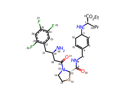 CCOC(=O)[C@H](NC1C=CC(CNC(=O)[C@@H]2SCCN2C(=O)C[C@H](N)Cc2cc(F)c(F)cc2F)=CC1)C(C)C